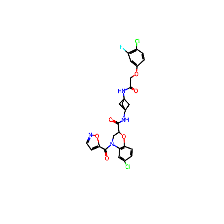 O=C(COc1ccc(Cl)c(F)c1)NC12CC(NC(=O)C3CN(C(=O)c4ccno4)c4cc(Cl)ccc4O3)(C1)C2